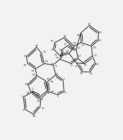 c1ccc(-c2cccc(N(c3ccc4c(c3)-c3c5cccc3-c3cccc-4c3-c3ccccc3-5)c3ccccc3-c3ccccc3)c2)cc1